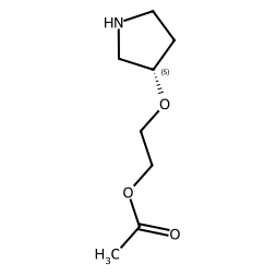 CC(=O)OCCO[C@H]1CCNC1